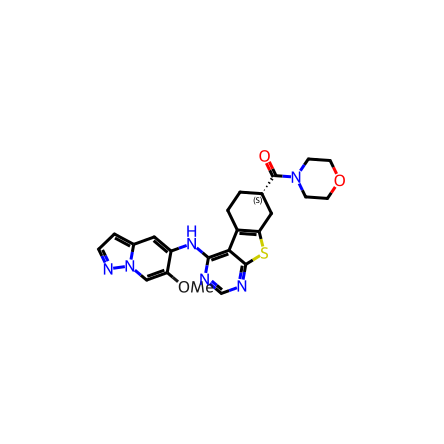 COc1cn2nccc2cc1Nc1ncnc2sc3c(c12)CC[C@H](C(=O)N1CCOCC1)C3